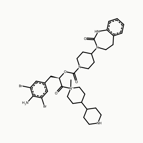 C[N+]1(C(=O)[C@@H](Cc2cc(Br)c(N)c(Br)c2)OC(=O)N2CCC(N3CCc4ccccc4NC3=O)CC2)CCC(C2CCNCC2)CC1